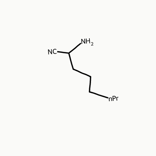 CCCCCCC(N)C#N